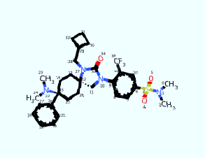 CN(C)S(=O)(=O)c1ccc(N2C[C@]3(CC[C@](c4ccccc4)(N(C)C)CC3)N(CC3CCC3)C2=O)c(C(F)(F)F)c1